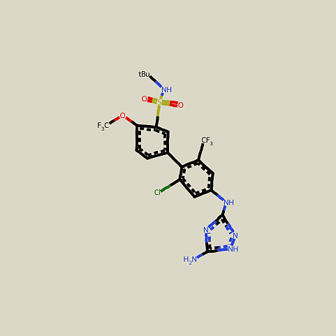 CC(C)(C)NS(=O)(=O)c1cc(-c2c(Cl)cc(Nc3n[nH]c(N)n3)cc2C(F)(F)F)ccc1OC(F)(F)F